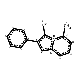 CCCc1c(-c2ccccc2)cc2cccc(C)n12